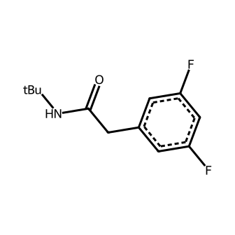 CC(C)(C)NC(=O)Cc1cc(F)cc(F)c1